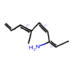 C=C/C=C(C)/C=C\C(N)=C/C